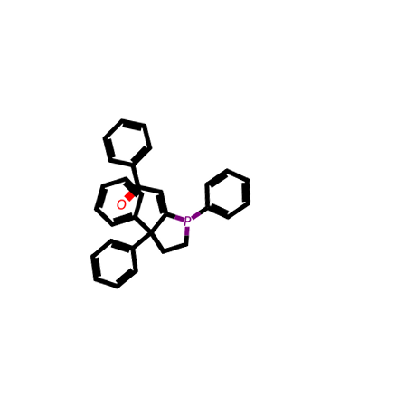 O=C(/C=C1/P(c2ccccc2)CCC1(c1ccccc1)c1ccccc1)c1ccccc1